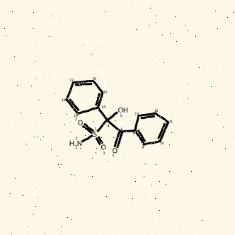 NS(=O)(=O)C(O)(C(=O)c1ccccc1)c1ccccc1